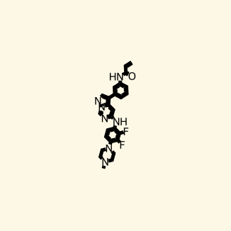 C=CC(=O)Nc1cccc(-c2cnn3cnc(Nc4ccc(N5CCN(C)CC5)c(F)c4F)cc23)c1